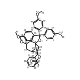 COc1ccc(C(OC23CC(OC)CC(C(OC(C)=O)C2)[N+]3(C)Cc2ccccc2)(c2ccc(OC)cc2)c2ccc(OC)cc2)cc1